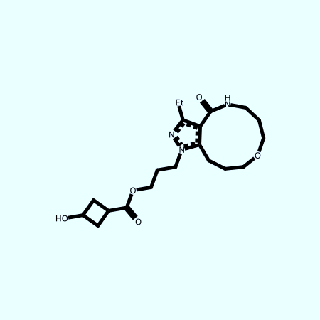 CCc1nn(CCCOC(=O)C2CC(O)C2)c2c1C(=O)NCCCOCCC2